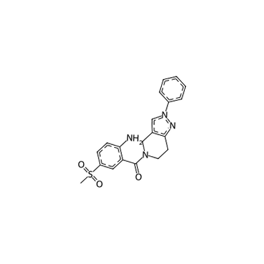 CS(=O)(=O)c1ccc(N)c(C(=O)N2CCc3nn(-c4ccccc4)cc3C2)c1